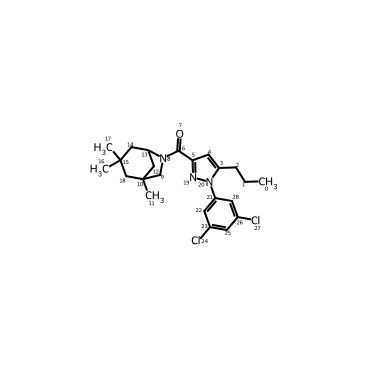 CCCc1cc(C(=O)N2CC3(C)CC2CC(C)(C)C3)nn1-c1cc(Cl)cc(Cl)c1